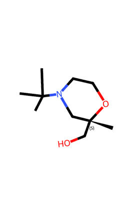 CC(C)(C)N1CCO[C@](C)(CO)C1